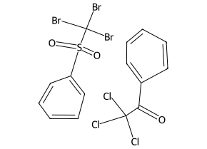 O=C(c1ccccc1)C(Cl)(Cl)Cl.O=S(=O)(c1ccccc1)C(Br)(Br)Br